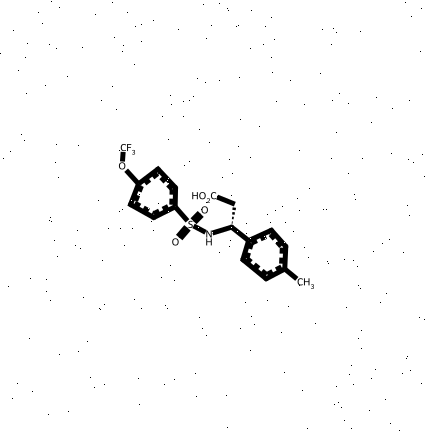 Cc1ccc([C@@H](CC(=O)O)NS(=O)(=O)c2ccc(OC(F)(F)F)cc2)cc1